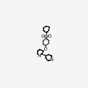 O=S(=O)(c1ccccc1)N1CCC(Oc2cccnc2-c2ccncc2)CC1